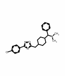 CN(C)C(c1ccccc1)C1CCC(Cc2nc(-c3ccc(Cl)cc3)no2)CC1